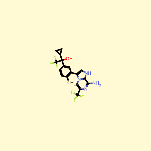 Cc1ccc(C(O)(C2CC2)C(F)(F)F)cc1C1=CNC2C(N)=NC(C(F)(F)F)=CN12